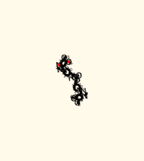 COc1cc2ncnc(N3CCCC(CO[PH](=O)OCC4CCCN(c5ncnc6cc(OC)c(OC)cc56)CC4)CC3)c2cc1OC